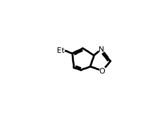 CCC1=CC2N=COC2C=C1